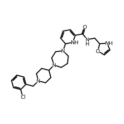 O=C(NCC1NC=CO1)C1=CC=CC(N2CCCN(C3CCN(Cc4ccccc4Cl)CC3)CC2)N1